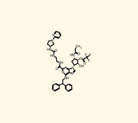 CCC(=O)N[C@H]1C[C@@H](n2cnc3c(NCC(c4ccccc4)c4ccccc4)nc(C(=O)NCCNC(=O)N[C@H]4CCN(c5ccccn5)C4)nc32)[C@H](O)[C@@H]1OC(=O)C(F)(F)F